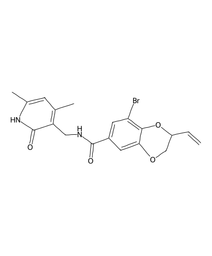 C=CC1COc2cc(C(=O)NCc3c(C)cc(C)[nH]c3=O)cc(Br)c2O1